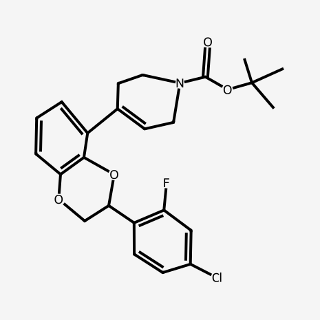 CC(C)(C)OC(=O)N1CC=C(c2cccc3c2OC(c2ccc(Cl)cc2F)CO3)CC1